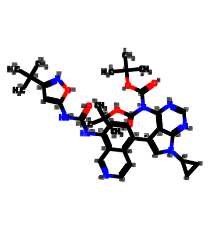 CC(C)(C)OC(=O)N(C(=O)OC(C)(C)C)c1ncnc2c1c(-c1ccc(NC(=O)Nc3cc(C(C)(C)C)no3)c3cnccc13)cn2C1CC1